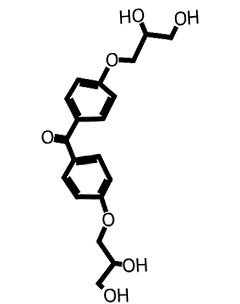 O=C(c1ccc(OCC(O)CO)cc1)c1ccc(OCC(O)CO)cc1